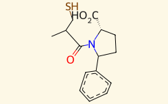 CC(CS)C(=O)N1C(c2ccccc2)CC[C@H]1C(=O)O